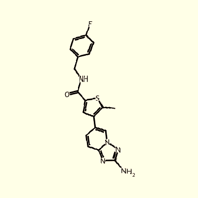 Cc1sc(C(=O)NCc2ccc(F)cc2)cc1-c1ccc2nc(N)nn2c1